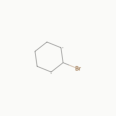 BrC1[CH]CCC[CH]1